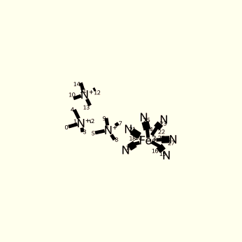 C[N+](C)(C)C.C[N+](C)(C)C.C[N+](C)(C)C.N#[C][Fe-3]([C]#N)([C]#N)([C]#N)([C]#N)[C]#N